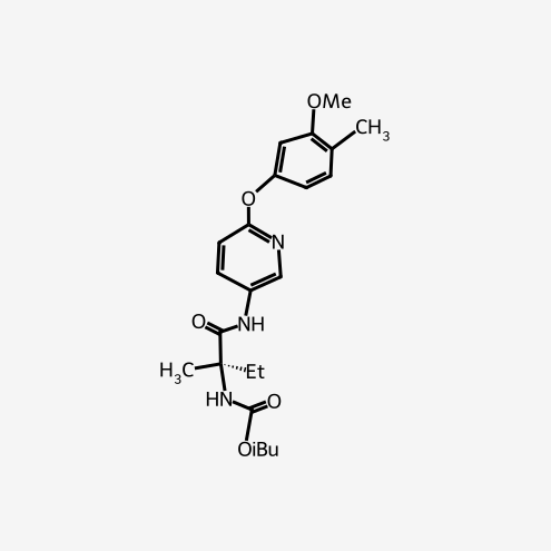 CC[C@@](C)(NC(=O)OCC(C)C)C(=O)Nc1ccc(Oc2ccc(C)c(OC)c2)nc1